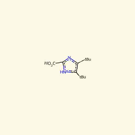 CC(C)(C)c1nc(C(=O)O)[nH]c1C(C)(C)C